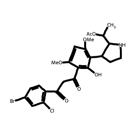 COc1cc(OC)c(C2CCNC2C(C)OC(C)=O)c(O)c1C(=O)CC(=O)c1ccc(Br)cc1Cl